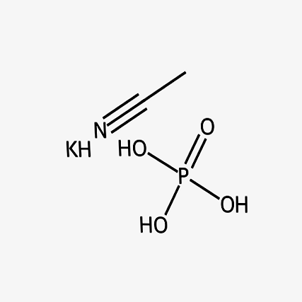 CC#N.O=P(O)(O)O.[KH]